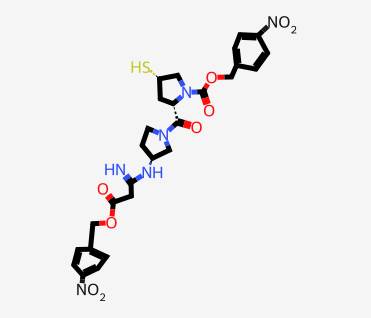 N=C(CC(=O)OCc1ccc([N+](=O)[O-])cc1)N[C@@H]1CCN(C(=O)[C@@H]2C[C@H](S)CN2C(=O)OCc2ccc([N+](=O)[O-])cc2)C1